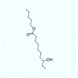 CCCCCOC(=O)CCCCCCC(O)CC